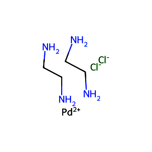 NCCN.NCCN.[Cl-].[Cl-].[Pd+2]